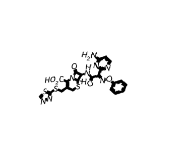 Nc1ccnc(/C(=N\Oc2ccccc2)C(=O)NC2C(=O)N3C(C(=O)O)=C(CSc4nncs4)CS[C@H]23)n1